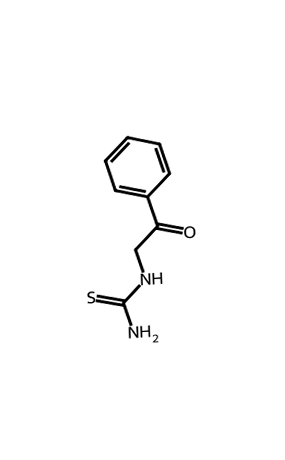 NC(=S)NCC(=O)c1ccccc1